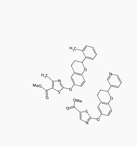 COC(=O)c1cnc(Oc2ccc3c(c2)CCC(c2cccnc2)O3)s1.COC(=O)c1sc(Oc2ccc3c(c2)CCC(c2ccccc2C)O3)nc1C